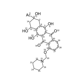 CC(=O)C1(O)Cc2c(O)c3c(c(O)c2C(O)C1)C(=O)c1c(OCN2CCCCC2)cccc1C3=O